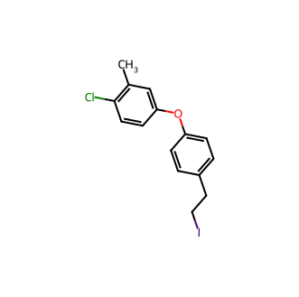 Cc1cc(Oc2ccc(CCI)cc2)ccc1Cl